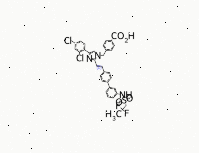 CC(F)(F)CS(=O)(=O)Nc1cccc(-c2ccc(/C=C/c3nc(-c4ccc(Cl)cc4Cl)cn3Cc3ccc(C(=O)O)cc3)cc2)c1